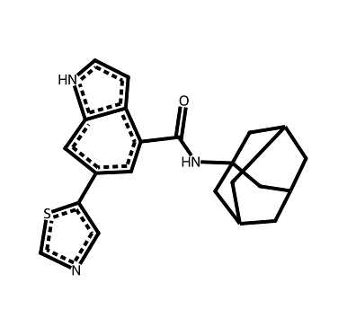 O=C(NC12CC3CC(CC(C3)C1)C2)c1cc(-c2cncs2)cc2[nH]ccc12